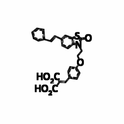 O=C(O)C(=Cc1ccc(OCCn2c(=O)sc3cc(/C=C/c4ccccc4)ccc32)cc1)C(=O)O